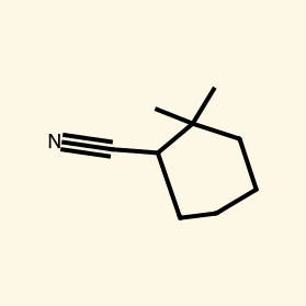 CC1(C)CCCCC1C#N